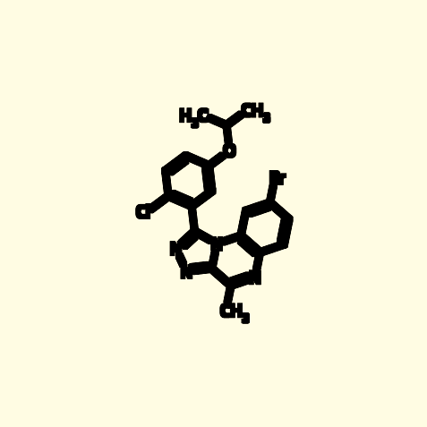 Cc1nc2ccc(Br)cc2n2c(-c3cc(OC(C)C)ccc3Cl)nnc12